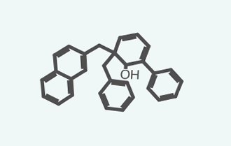 OC1C(c2ccccc2)=CC=CC1(Cc1ccccc1)Cc1ccc2ccccc2c1